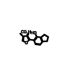 Cc1coc(-c2ccc3c(c2O)CCC3)c1C(=O)O